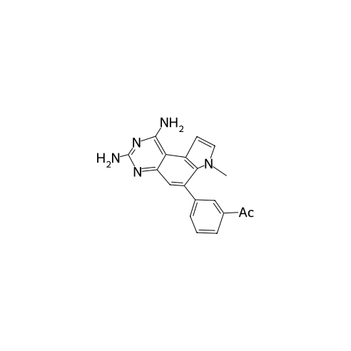 CC(=O)c1cccc(-c2cc3nc(N)nc(N)c3c3ccn(C)c23)c1